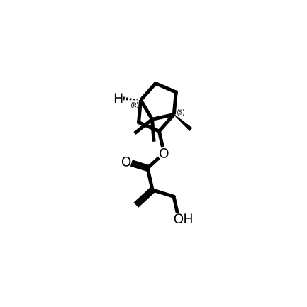 C=C(CO)C(=O)OC1C[C@H]2CC[C@@]1(C)C2(C)C